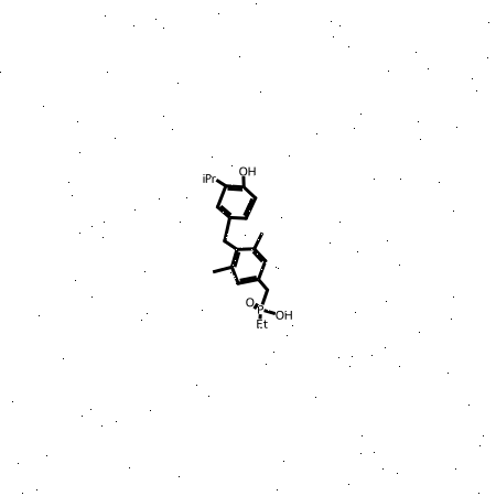 CCP(=O)(O)Cc1cc(C)c(Cc2ccc(O)c(C(C)C)c2)c(C)c1